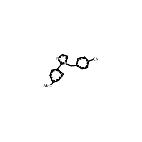 COc1ccc(-c2nccn2Cc2ccc(C#N)cc2)cc1